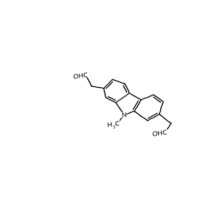 Cn1c2cc(CC=O)ccc2c2ccc(CC=O)cc21